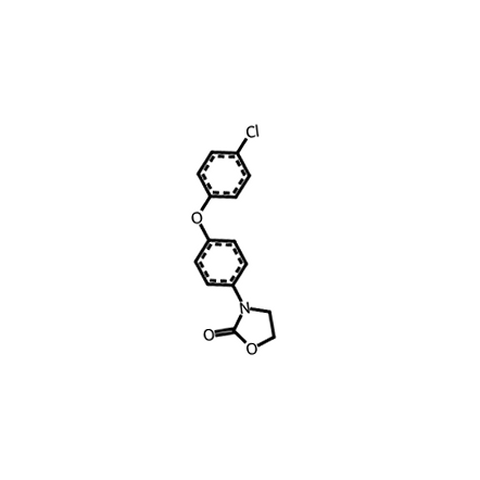 O=C1OCCN1c1ccc(Oc2ccc(Cl)cc2)cc1